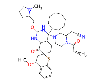 C=CC(=O)N1CCN(C2(C3CCCCCCC3)NC(OCC3CCCN3C)NC3C(=O)[C@]4(CCC32)CC(OC)c2ccccc2S4)CC1CC#N